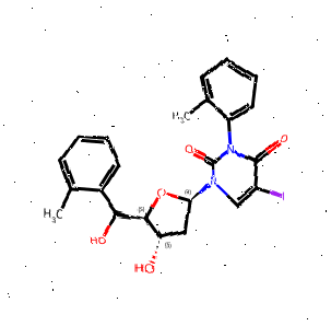 Cc1ccccc1C(O)[C@H]1O[C@@H](n2cc(I)c(=O)n(-c3ccccc3C)c2=O)C[C@@H]1O